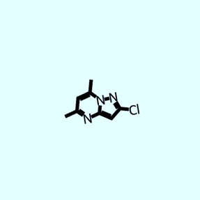 Cc1cc(C)n2nc(Cl)cc2n1